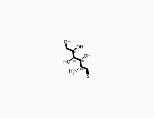 N[C@@H](C=S)[C@@H](O)[C@@H](O)[C@H](O)CO